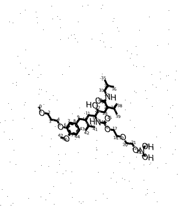 COCCCOc1cc(CC(CC(NC(=O)OCCOCCON(O)O)C(O)CC(C(=O)NCC(C)C)C(C)C)C(C)C)ccc1OC